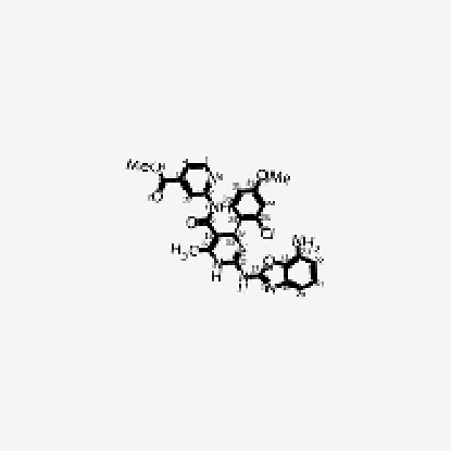 COC(=O)c1ccnc(NC(=O)C2=C(C)NC(Nc3nc4cccc(N)c4o3)=N[C@@H]2c2ccc(OC)cc2Cl)c1